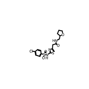 O=C(Cc1csc(NS(=O)(=O)c2ccc(Cl)cc2)n1)NCC1CCCO1